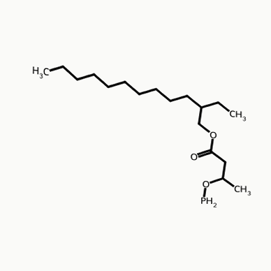 CCCCCCCCCCC(CC)COC(=O)CC(C)OP